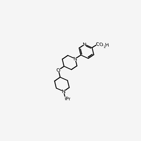 CC(C)N1CCC(OC2CCN(c3ccc(C(=O)O)nc3)CC2)CC1